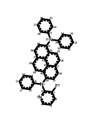 Fc1cccnc1N(c1ccccc1)c1ccc2ccc3c(N(c4ccccc4)c4ccccc4)ccc4ccc1c2c43